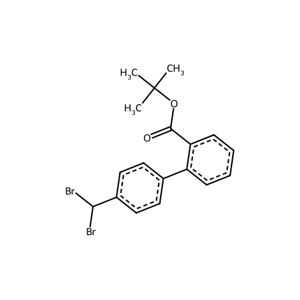 CC(C)(C)OC(=O)c1ccccc1-c1ccc(C(Br)Br)cc1